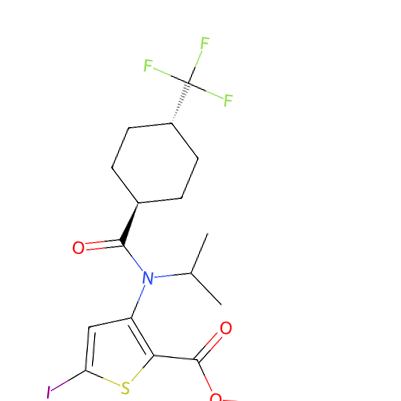 COC(=O)c1sc(I)cc1N(C(=O)[C@H]1CC[C@H](C(F)(F)F)CC1)C(C)C